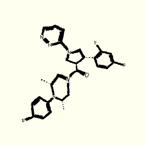 C[C@@H]1CN(C(=O)[C@H]2CN(c3cccnn3)C[C@@H]2c2ccc(F)cc2F)C[C@H](C)N1c1ccc(F)cc1